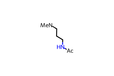 CNCCCNC(C)=O